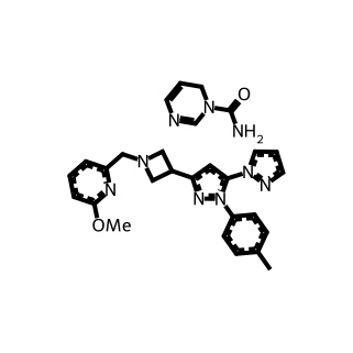 COc1cccc(CN2CC(c3cc(-n4cccn4)n(-c4ccc(C)cc4)n3)C2)n1.NC(=O)N1C=NC=CC1